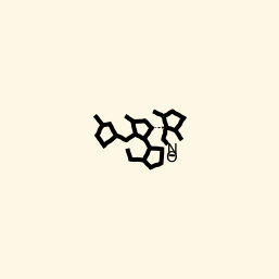 CCC1CCCC1C1C(CC2CCC(C)C2)C(C)C[C@@H]1C1(CN=O)C(C)CCC1C